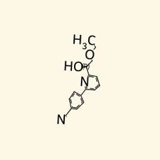 CCOC[C@H](O)c1cccc(-c2ccc(C#N)cc2)n1